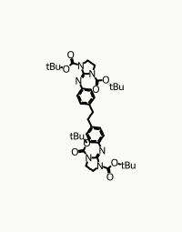 CC(C)(C)OC(=O)N1CCN(C(=O)OC(C)(C)C)C1=Nc1ccc(CCc2ccc(N=C3N(C(=O)OC(C)(C)C)CCN3C(=O)OC(C)(C)C)cc2)cc1